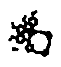 COc1ccc(-c2c(-c3ccc(OC)cc3)c3c(-c4ccc(OC)cc4)c4nc(cc5ccc(cc6nc(cc2n3-c2ccc(OC)cc2)C=C6)[nH]5)C=C4)cc1.[Mn]